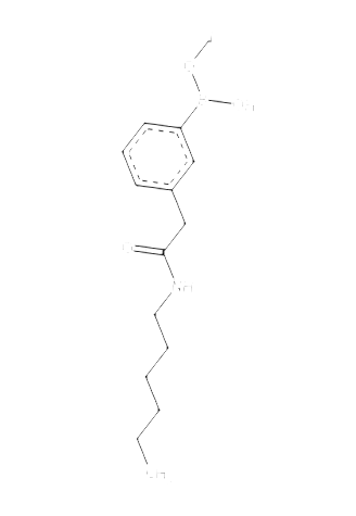 CCCCCCNC(=O)Cc1cccc(B(O)OI)c1